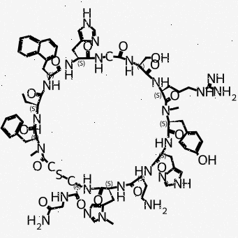 CC[C@@H]1NC(=O)[C@H](Cc2ccccc2)N(C)C(=O)CSC[C@@H](C(=O)NCC(N)=O)NC(=O)[C@H](Cc2cncn2C)NC(=O)[C@H](CCN)NC(=O)[C@H](Cc2c[nH]cn2)NC(=O)[C@H](Cc2ccc(O)cc2)N(C)C(=O)[C@H](CCCNC(=N)N)NC(=O)[C@H](CO)NC(=O)CNC(=O)[C@H](Cc2c[nH]cn2)NC(=O)[C@H](Cc2cccc3ccccc23)NC1=O